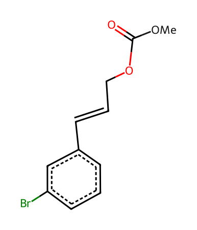 COC(=O)OCC=Cc1cccc(Br)c1